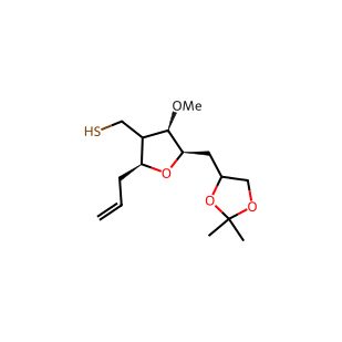 C=CC[C@@H]1O[C@H](CC2COC(C)(C)O2)[C@H](OC)C1CS